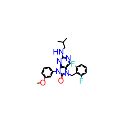 COc1cccc(-n2c(=O)n(Cc3c(F)cccc3F)c3cnc(NCC(C)C)nc32)c1